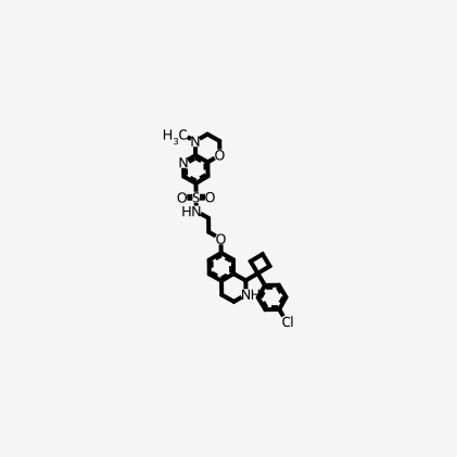 CN1CCOc2cc(S(=O)(=O)NCCOc3ccc4c(c3)C(C3(c5ccc(Cl)cc5)CCC3)NCC4)cnc21